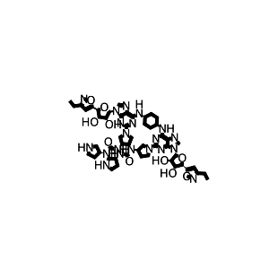 CCc1cc([C@H]2O[C@@H](n3cnc4c(N[C@H]5CC[C@H](Nc6nc(N7CC[C@@H](NC(=O)N[C@@H]8CCNC8)C7)nc7c6ncn7[C@@H]6O[C@H](c7cc(CC)no7)[C@@H](O)[C@H]6O)CC5)nc(N5CC[C@@H](NC(=O)N[C@@H]6CCNC6)C5)nc43)[C@H](O)[C@@H]2O)on1